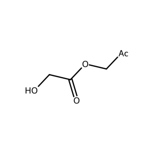 CC(=O)COC(=O)CO